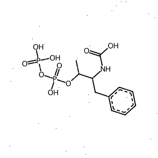 CC(OP(=O)(O)OP(=O)(O)O)C(Cc1ccccc1)NC(=O)O